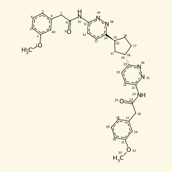 COc1cccc(CC(=O)Nc2ccc([C@H]3CC[C@H](c4ccc(NC(=O)Cc5cccc(OC)c5)nn4)C3)nn2)c1